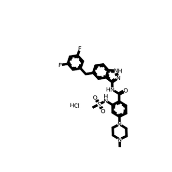 CN1CCN(c2ccc(C(=O)Nc3n[nH]c4ccc(Cc5cc(F)cc(F)c5)cc34)c(NS(C)(=O)=O)c2)CC1.Cl